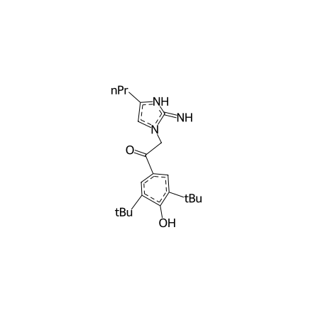 CCCc1cn(CC(=O)c2cc(C(C)(C)C)c(O)c(C(C)(C)C)c2)c(=N)[nH]1